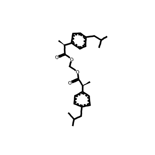 CC(C)Cc1ccc([C@H](C)C(=O)OCOC(=O)[C@@H](C)c2ccc(CC(C)C)cc2)cc1